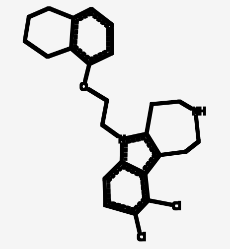 Clc1ccc2c(c1Cl)c1c(n2CCOc2cccc3c2CCCC3)CCNCC1